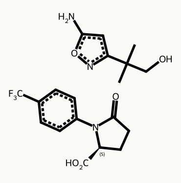 CC(C)(CO)c1cc(N)on1.O=C(O)[C@@H]1CCC(=O)N1c1ccc(C(F)(F)F)cc1